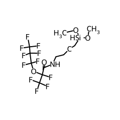 CO[SiH](CCCCNC(=O)C(F)(OC(F)(F)C(F)(F)C(F)(F)F)C(F)(F)F)OC